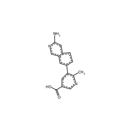 Cc1ncc(C(=O)O)cc1-c1ccc2cc(N)ncc2c1